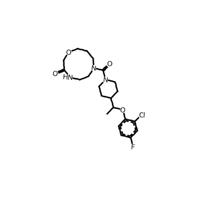 CC(Oc1ccc(F)cc1Cl)C1CCN(C(=O)N2CCCOCC(=O)NCC2)CC1